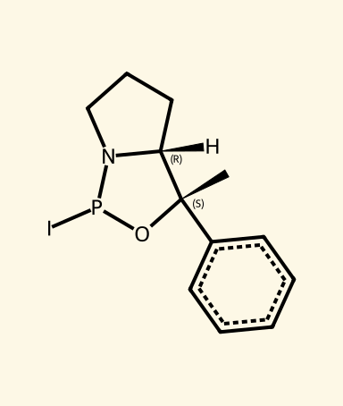 C[C@@]1(c2ccccc2)OP(I)N2CCC[C@@H]21